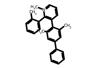 Cc1ccccc1-c1c(-c2c(C)cc(-c3ccccc3)cc2C)ccc[n+]1C